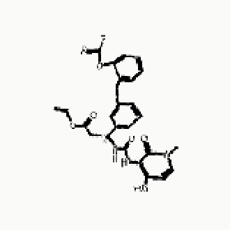 CCOC(=O)C[C@H](NC(=O)Nc1c(O)ccn(C)c1=O)c1cccc(Cc2ccccc2OC(F)F)c1